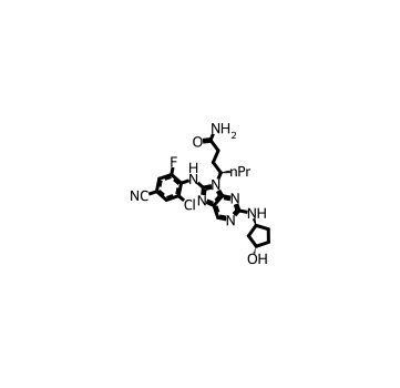 CCC[C@H](CCC(N)=O)n1c(Nc2c(F)cc(C#N)cc2Cl)nc2cnc(N[C@H]3CC[C@H](O)C3)nc21